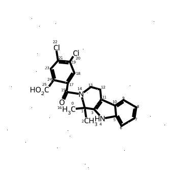 CC1(C)c2[nH]c3ccccc3c2CCN1C(=O)c1cc(Cl)c(Cl)cc1C(=O)O